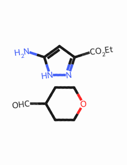 CCOC(=O)c1cc(N)[nH]n1.O=CC1CCOCC1